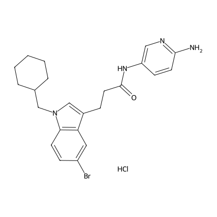 Cl.Nc1ccc(NC(=O)CCc2cn(CC3CCCCC3)c3ccc(Br)cc23)cn1